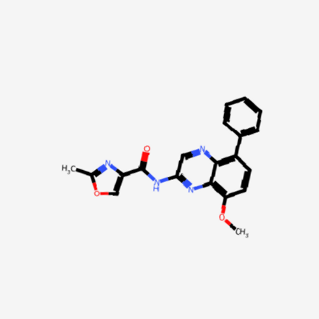 COc1ccc(-c2ccccc2)c2ncc(NC(=O)c3coc(C)n3)nc12